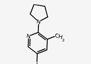 Cc1cc(I)cnc1N1CCCC1